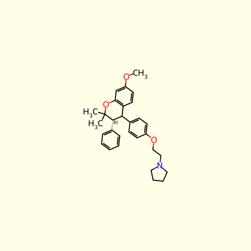 COc1ccc2c(c1)OC(C)(C)[C@@H](c1ccccc1)C2c1ccc(OCCN2CCCC2)cc1